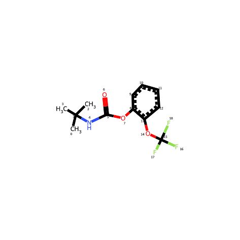 CC(C)(C)NC(=O)Oc1ccccc1OC(F)(F)F